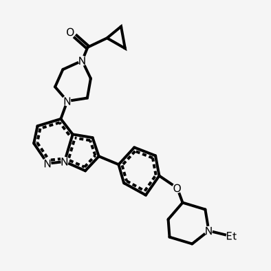 CCN1CCCC(Oc2ccc(-c3cc4c(N5CCN(C(=O)C6CC6)CC5)ccnn4c3)cc2)C1